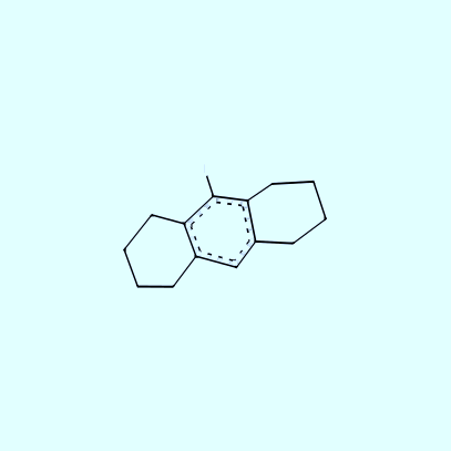 Ic1c2c(cc3c1CCCC3)CCCC2